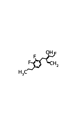 C=C/C(Cc1ccc(CCC)c(F)c1F)=C(/O)CF